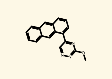 COc1nncc(-c2cccc3cc4ccccc4cc23)n1